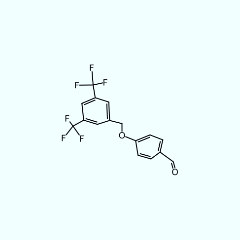 O=Cc1ccc(OCc2cc(C(F)(F)F)cc(C(F)(F)F)c2)cc1